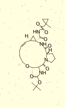 C[C@@H]1CC/C=C\[C@H]2C[C@@]2(C(=O)NS(=O)(=O)C2(C)CC2)NC(=O)[C@@H]2CCCN2C(=O)C(NC(=O)OC(C)(C)C)[C@H](C)O1